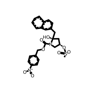 CS(=O)(=O)O[C@H]1CN(C(=O)OCc2ccc([N+](=O)[O-])cc2)[C@](O)(Cc2ccc3ccccc3c2)C1